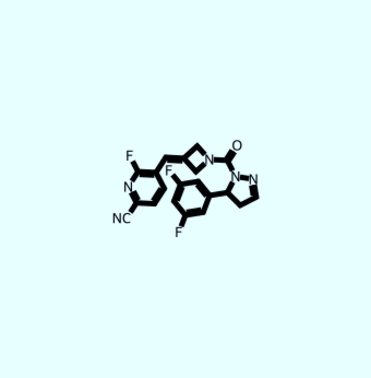 N#Cc1ccc(C=C2CN(C(=O)N3N=CCC3c3cc(F)cc(F)c3)C2)c(F)n1